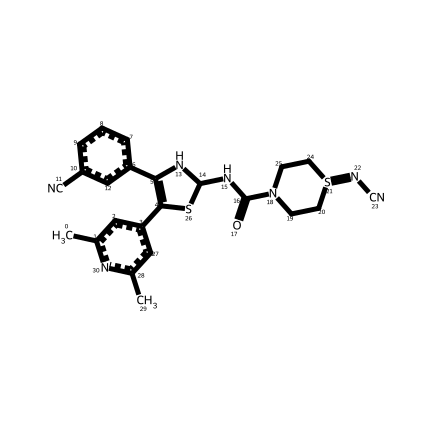 Cc1cc(C2=C(c3cccc(C#N)c3)NC(NC(=O)N3CCS(=NC#N)CC3)S2)cc(C)n1